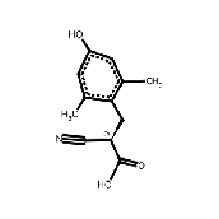 Cc1cc(O)cc(C)c1C[C@H](C#N)C(=O)O